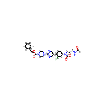 CC(=O)NC[C@H]1CN(c2ccc(-c3cnc(N4CCN(C(=O)OCc5ccccc5)CC4)nc3)c(F)c2)C(=O)O1